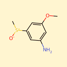 COc1cc(N)cc([S+](C)[O-])c1